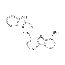 CC(C)(C)c1cccc2c1sc1c(-c3ccc4[nH]c5ccccc5c4c3)cccc12